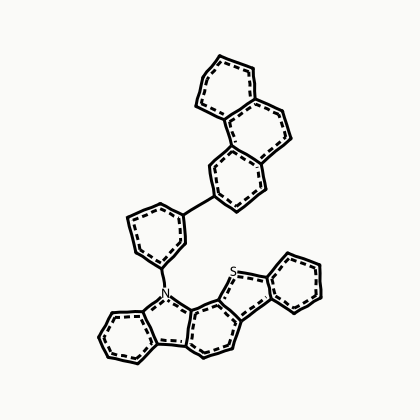 c1cc(-c2ccc3ccc4ccccc4c3c2)cc(-n2c3ccccc3c3ccc4c5ccccc5sc4c32)c1